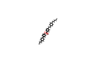 CCCCCC1CCC(CCc2ccc(C(=O)Oc3ccc(C4CCC(CCC)CC4)cc3)cc2)CC1